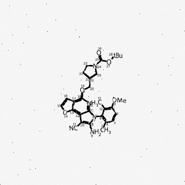 COc1ccc(C)c(-n2c(N)c(C#N)c3c4occc4c(OC[C@H]4CCN(C(=O)OC(C)(C)C)C4)nc32)c1C